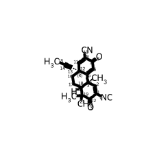 [C-]#[N+]C1=C[C@]2(C)C3=CC(=O)C(C#N)=C[C@]3(C#CC)CC[C@H]2C(C)(C)C1=O